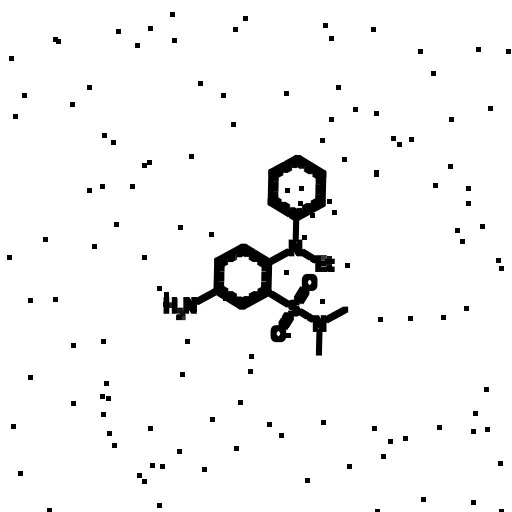 CCN(c1ccccc1)c1ccc(N)cc1S(=O)(=O)N(C)C